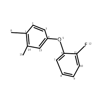 Cc1ccc(Oc2ccccc2F)cc1C